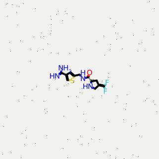 N=C(N)c1csc(CNC(=O)[C@@H]2CC(=C(F)F)CN2)c1